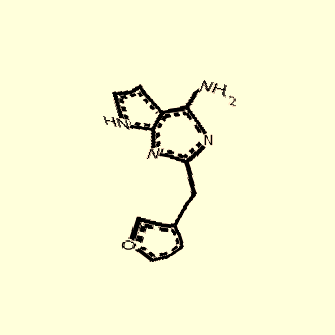 Nc1nc(Cc2ccoc2)nc2[nH]ccc12